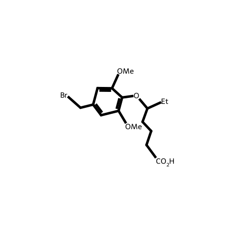 CCC(CCCC(=O)O)Oc1c(OC)cc(CBr)cc1OC